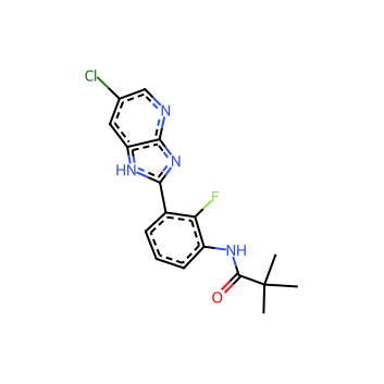 CC(C)(C)C(=O)Nc1cccc(-c2nc3ncc(Cl)cc3[nH]2)c1F